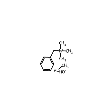 CO.C[N+](C)(C)Cc1ccccc1.[OH-]